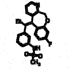 CCC(=C1c2ccc(F)cc2OCc2ncccc21)c1cccc(NS(C)(=O)=O)c1